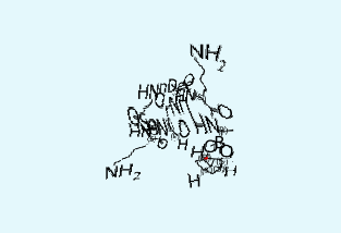 CCCCCCCCCCNCCS(=O)(=O)N[C@@H](CCCCN)C(=O)N[C@H](C(=O)N[C@@H](C)C(=O)N[C@@H](CCCCN)C(=O)N[C@@H](C)B1O[C@@H]2C[C@@H]3C[C@@H](C3(C)C)[C@]2(C)O1)[C@@H](C)O